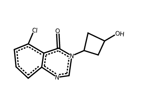 O=c1c2c(Cl)cccc2ncn1C1CC(O)C1